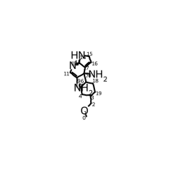 COCC1CCC(C2(N)C(N)=CN=C3NCC=C32)CC1